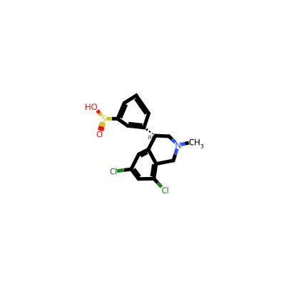 CN1Cc2c(Cl)cc(Cl)cc2[C@H](c2cccc(S(=O)O)c2)C1